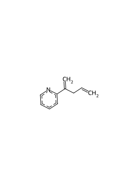 C=CCC(=C)c1ccccn1